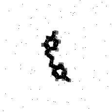 Cc1ccc(CCCc2ccc(C)nc2)cn1